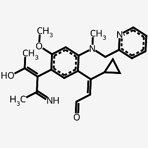 COc1cc(N(C)Cc2ccccn2)c(/C(=C\C=O)C2CC2)cc1/C(C(C)=N)=C(\C)O